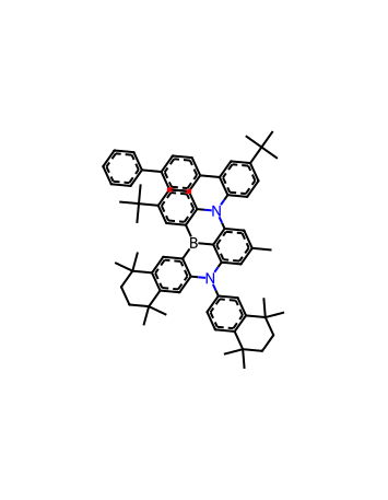 Cc1cc2c3c(c1)N(c1ccc(C(C)(C)C)cc1-c1ccc(-c4ccccc4)cc1)c1ccc(C(C)(C)C)cc1B3c1cc3c(cc1N2c1ccc2c(c1)C(C)(C)CCC2(C)C)C(C)(C)CCC3(C)C